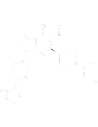 CC(=O)c1c([C@@H]2CCN(C(=O)CO)[C@@H](C)C2)nc2c(-c3ccc(-c4ncc[nH]4)nc3)cnn2c1N